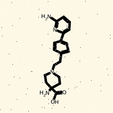 Nc1cccc(-c2ccc(CCN3CCC(N)(C(=O)O)CC3)cc2)n1